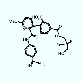 CCC(CC)(CO)CNC(=O)c1ccc(-c2ccc(OC)nc2C(=O)Nc2ccc(C(=N)N)cc2)c(C(=O)O)c1